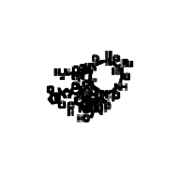 CC[C@H](C)[C@@H]1NC(=O)CNC(=O)[C@H]2Cc3c4[nH]c5cc(ccc35)OC(CC(C)(C)CC(C)(C)N3C(=O)C=CC3=O)(C(=O)[C@H](CC(N)=O)NC(=O)[C@@H](C[S+]4[O-])NC(=O)CNC1=O)N1C[C@H](O)C[C@H]1C(=O)N[C@@H]([C@@H](C)[C@@H](O)CO)C(=O)N2